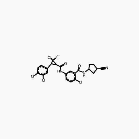 N#CC1CCC(NC(=O)c2cc(NC(=O)C3C(c4ccc(Cl)c(Cl)c4)C3(Cl)Cl)ccc2Cl)C1